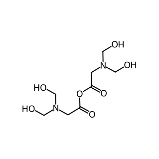 O=C(CN(CO)CO)OC(=O)CN(CO)CO